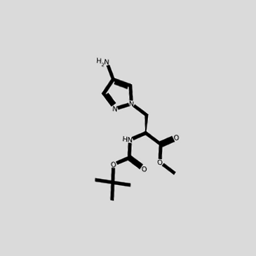 COC(=O)[C@H](Cn1cc(N)cn1)NC(=O)OC(C)(C)C